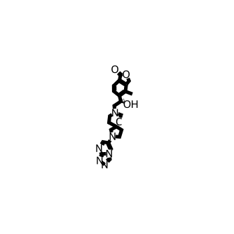 Cc1c([C@@H](O)CN2CCC3(CC2)CCN(c2cnc4nncn4c2)C3)ccc2c1COC2=O